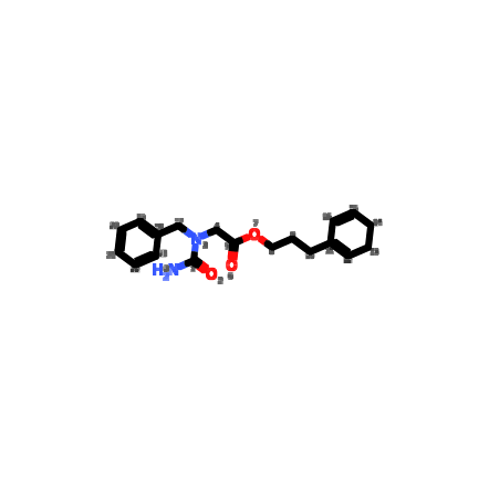 NC(=O)N(CC(=O)OCCCC1=CCCC=C1)Cc1ccccc1